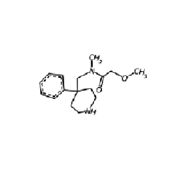 COCC(=O)N(C)CC1(c2ccccc2)CCNCC1